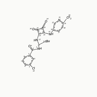 CC(C)(C)C(NC(=O)c1cccc(Cl)c1)Nc1c(Nc2ccc(C(F)(F)F)nc2)c(=O)c1=O